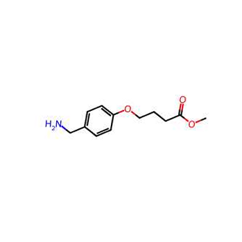 COC(=O)CCCOc1ccc(CN)cc1